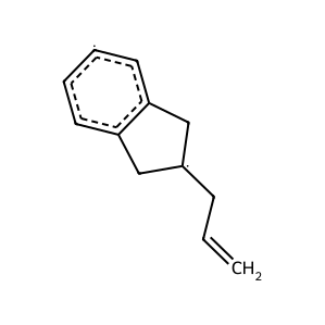 C=CC[C]1Cc2c[c]ccc2C1